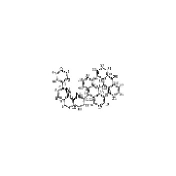 c1ccc(-c2ccc3ccc4ccc(-c5c6ccccc6c(-c6c7ccccc7cc7ccccc67)c6ccccc56)nc4c3n2)cc1